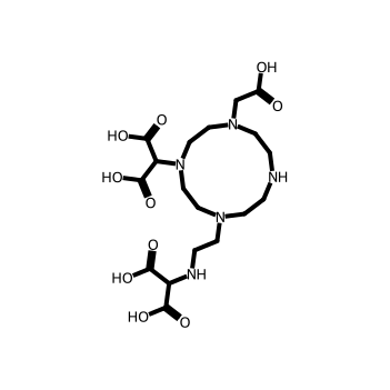 O=C(O)CN1CCNCCN(CCNC(C(=O)O)C(=O)O)CCN(C(C(=O)O)C(=O)O)CC1